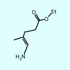 CCOC(=O)CCC(C)=CN